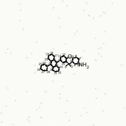 CC1(C)c2cc(N)ccc2Oc2ccc(-c3c4ccccc4c(-c4ccccc4)c4ccccc34)cc21